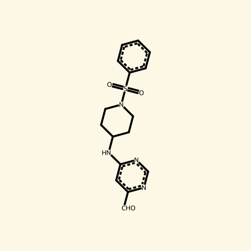 O=Cc1cc(NC2CCN(S(=O)(=O)c3ccccc3)CC2)ncn1